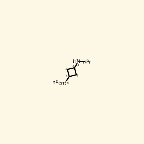 CCCCCC1CC(NC(C)C)C1